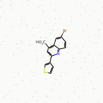 O=C(O)c1cc(-c2ccsc2)nc2ccc(Br)cc12